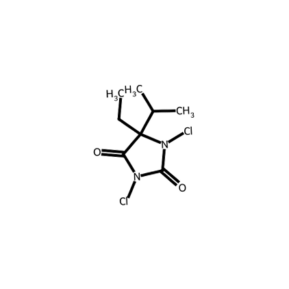 CCC1(C(C)C)C(=O)N(Cl)C(=O)N1Cl